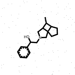 CC1C2CCCC23CN(CC(O)c2ccccc2)CC13